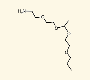 CCCOCCOC(C)OCCOCCN